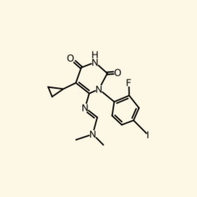 CN(C)C=Nc1c(C2CC2)c(=O)[nH]c(=O)n1-c1ccc(I)cc1F